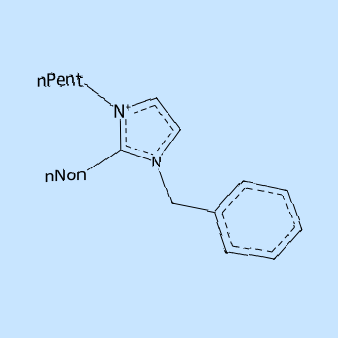 CCCCCCCCCc1n(Cc2ccccc2)cc[n+]1CCCCC